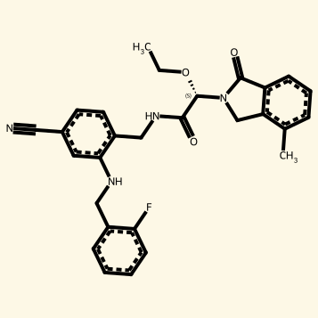 CCO[C@@H](C(=O)NCc1ccc(C#N)cc1NCc1ccccc1F)N1Cc2c(C)cccc2C1=O